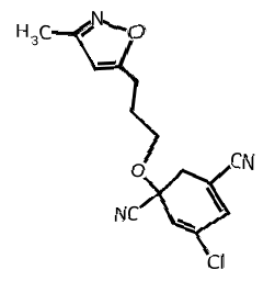 Cc1cc(CCCOC2(C#N)C=C(Cl)C=C(C#N)C2)on1